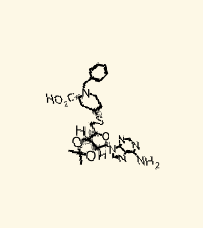 CC1(C)O[C@@H]2[C@H](O1)[C@@H](CS[C@@H]1CCN(Cc3ccccc3)[C@@H](C(=O)O)C1)O[C@H]2n1cnc2c(N)ncnc21